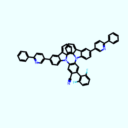 N#Cc1cc(-n2c3ccccc3c3cc(-c4ccc(-c5ccccc5)nc4)ccc32)c(-n2c3ccccc3c3cc(-c4ccc(-c5ccccc5)nc4)ccc32)cc1-c1c(F)cccc1F